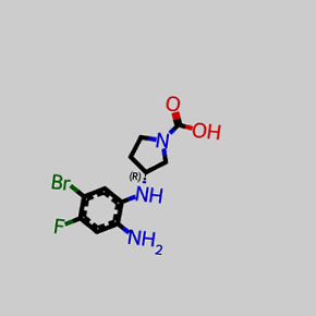 Nc1cc(F)c(Br)cc1N[C@@H]1CCN(C(=O)O)C1